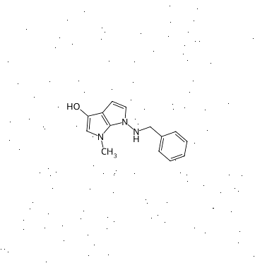 Cn1cc(O)c2ccn(NCc3ccccc3)c21